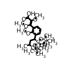 COC(C(=O)O)=C(OC)c1cccc(C(CC(C)C)[Si](C)(O[Si](C)(C)C)O[Si](C)(C)C)c1OC